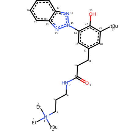 CCCC[N+](CC)(CC)CCCNC(=O)CCc1cc(-n2nc3ccccc3n2)c(O)c(C(C)(C)C)c1